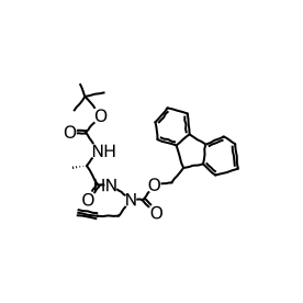 C#CCN(NC(=O)[C@H](C)NC(=O)OC(C)(C)C)C(=O)OCC1c2ccccc2-c2ccccc21